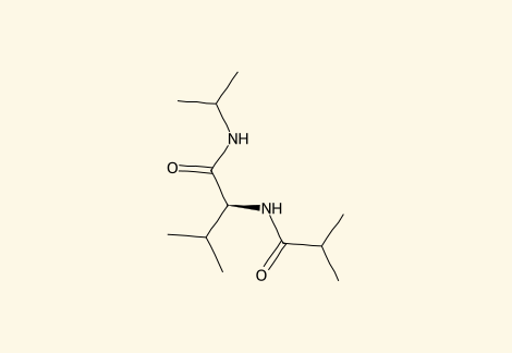 CC(C)NC(=O)[C@@H](NC(=O)C(C)C)C(C)C